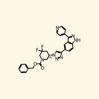 O=C(OCc1ccccc1)N1C[C@H](n2cc(-c3ccc4[nH]nc(-c5ccncc5)c4c3)nn2)CC(F)(F)C1